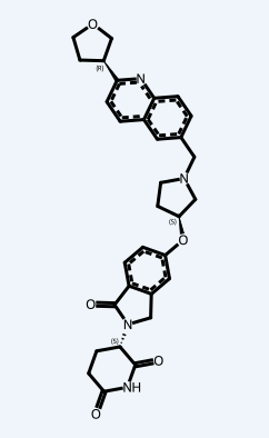 O=C1CC[C@H](N2Cc3cc(O[C@H]4CCN(Cc5ccc6nc([C@H]7CCOC7)ccc6c5)C4)ccc3C2=O)C(=O)N1